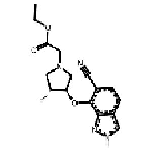 CCOC(=O)CN1C[C@@H](F)[C@H](Oc2c(C#N)ccc3c[nH]nc23)C1